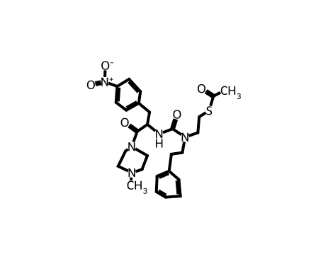 CC(=O)SCCN(CCc1ccccc1)C(=O)NC(Cc1ccc([N+](=O)[O-])cc1)C(=O)N1CCN(C)CC1